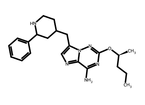 CCC[C@H](C)Oc1nc(N)c2ncc(CC3CCNC(c4ccccc4)C3)n2n1